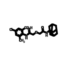 Cc1cc(Cl)cc(C(=O)O)c1NC(=O)COCC(=O)NC12CC3CC(CC(C3)C1)C2